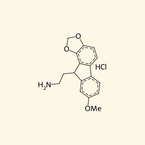 COc1ccc2c(c1)C(CCN)c1c-2ccc2c1OCO2.Cl